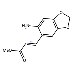 COC(=O)/C=C/c1cc2c(cc1N)OCO2